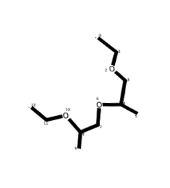 [CH2]COCC(C)OCC(C)OC[CH2]